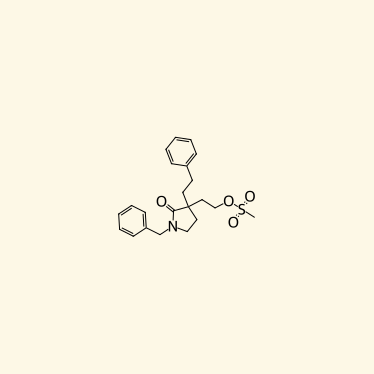 CS(=O)(=O)OCCC1(CCc2ccccc2)CCN(Cc2ccccc2)C1=O